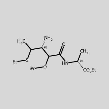 CCOC(=O)[C@@H](C)NC(=O)C(OC(C)C)[C@@H](N)C(C)SCC